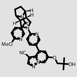 COc1ccc(C(=O)N2C3CC[C@@H]2[C@@H]2CN(c4ccc(-c5cc(OCC(C)(C)O)cn6ncc(C#N)c56)cn4)C[C@H]32)cn1